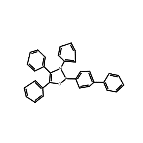 c1ccc(C2=C(c3ccccc3)N(c3ccccc3)P(c3ccc(-c4ccccc4)cc3)O2)cc1